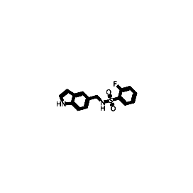 O=S(=O)(NCc1ccc2[nH]ccc2c1)c1ccccc1F